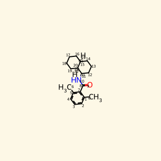 Cc1cccc(C)c1C(=O)N[C@H]1CCC[C@@H]2CCCC[C@@H]21